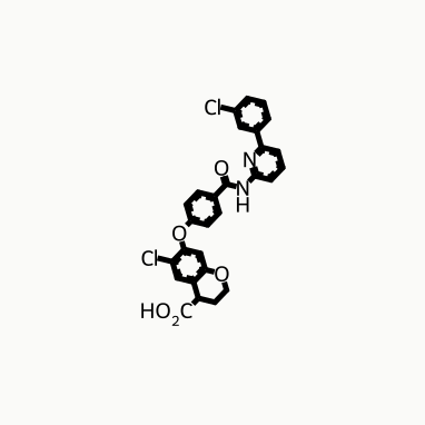 O=C(Nc1cccc(-c2cccc(Cl)c2)n1)c1ccc(Oc2cc3c(cc2Cl)C(C(=O)O)CCO3)cc1